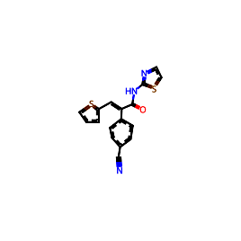 N#Cc1ccc(/C(=C\c2cccs2)C(=O)Nc2nccs2)cc1